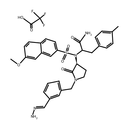 COc1ccc2ccc(S(=O)(=O)N(C(Cc3ccc(C)cc3)C(N)=O)[C@H]3CCN(Cc4cccc(C=NN)c4)C3=O)cc2c1.O=C(O)C(F)(F)F